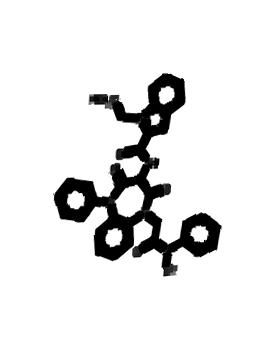 CC(C)N(C(=O)CN1C(=O)C(NC(=O)c2cc3ccccc3n2CC(=O)O)C(=O)N(c2ccccc2)c2ccccc21)c1ccccc1